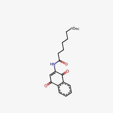 CCCCCCCCCCCCCCCC(=O)NC1=CC(=O)c2ccccc2C1=O